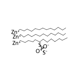 CCCCCCCCCCCC[CH2][Zn+].CCCCCCCCCCCC[CH2][Zn+].CCCCCCCCCCCC[CH2][Zn+].[O-]P([O-])(=S)[S-]